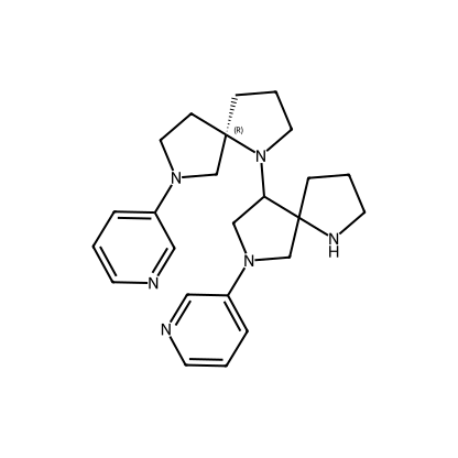 c1cncc(N2CC(N3CCC[C@]34CCN(c3cccnc3)C4)C3(CCCN3)C2)c1